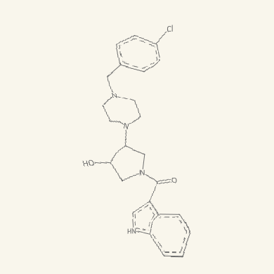 O=C(c1c[nH]c2ccccc12)N1CC(O)C(N2CCN(Cc3ccc(Cl)cc3)CC2)C1